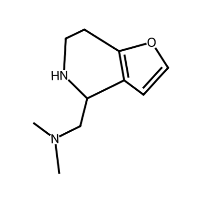 CN(C)CC1NCCc2occc21